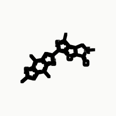 Cc1cc2c(C)c3sc(-c4sc(C)c5c6c(oc45)C(=O)N(C)C6)cc3c(C)c2s1